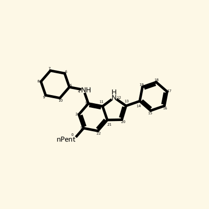 CCCCCc1cc(NC2CCCCC2)c2[nH]c(-c3ccccc3)cc2c1